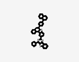 c1ccc(-c2nc(-c3ccc4sc5c(-c6ccc(-c7cccc8ccccc78)cc6)cc6ccccc6c5c4c3)nc3c2sc2ccccc23)cc1